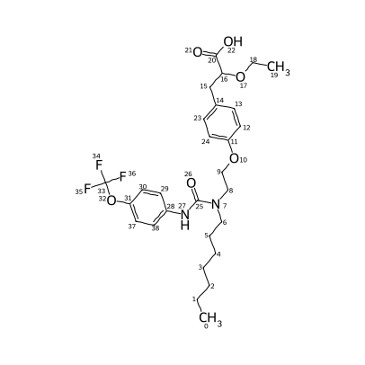 CCCCCCCN(CCOc1ccc(CC(OCC)C(=O)O)cc1)C(=O)Nc1ccc(OC(F)(F)F)cc1